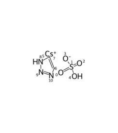 O=S(=O)([O-])O.[Cs+].c1c[nH]nn1